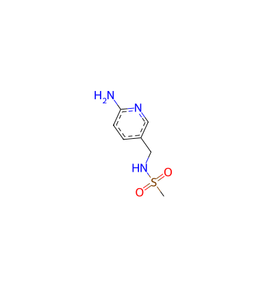 CS(=O)(=O)NCc1ccc(N)nc1